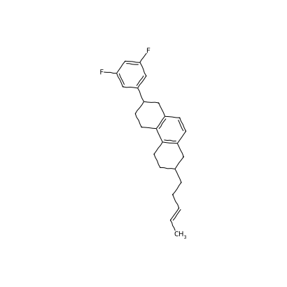 CC=CCCC1CCc2c(ccc3c2CCC(c2cc(F)cc(F)c2)C3)C1